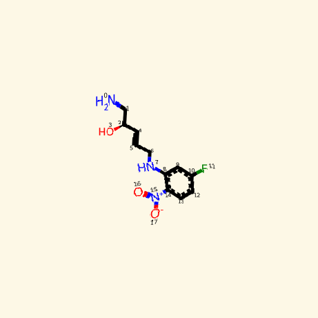 NC[C@H](O)/C=C/CNc1cc(F)ccc1[N+](=O)[O-]